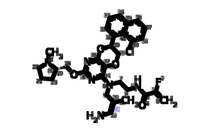 C=C(F)C(=O)NCCN(C/C(C)=C\N)c1nc(OC[C@@H]2CCCN2C)nc2c1OCC(c1cccc3cccc(Cl)c13)O2